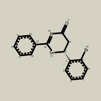 O=C1C[C@H](c2ccccc2Br)[Se]C(c2ccccc2)=N1